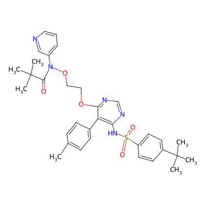 Cc1ccc(-c2c(NS(=O)(=O)c3ccc(C(C)(C)C)cc3)ncnc2OCCON(C(=O)C(C)(C)C)c2cccnc2)cc1